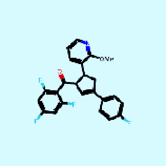 COc1ncccc1C1CC(c2ccc(F)cc2)=CC1C(=O)c1c(F)cc(F)cc1F